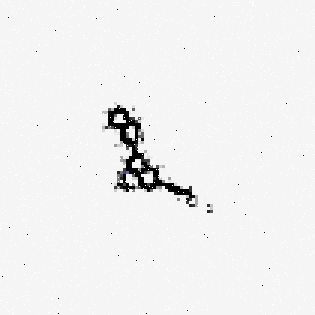 C=CC#Cc1ccc2/c(=N\O)cc(-c3cc4ccccc4cn3)oc2c1